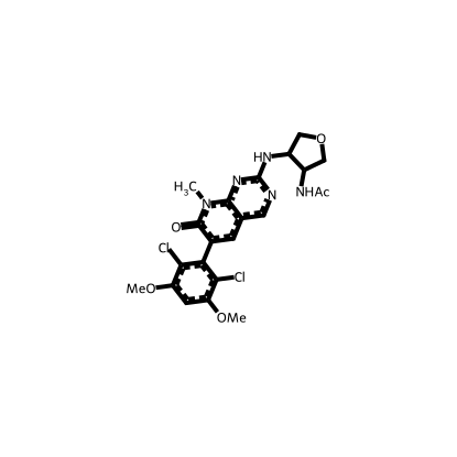 COc1cc(OC)c(Cl)c(-c2cc3cnc(NC4COCC4NC(C)=O)nc3n(C)c2=O)c1Cl